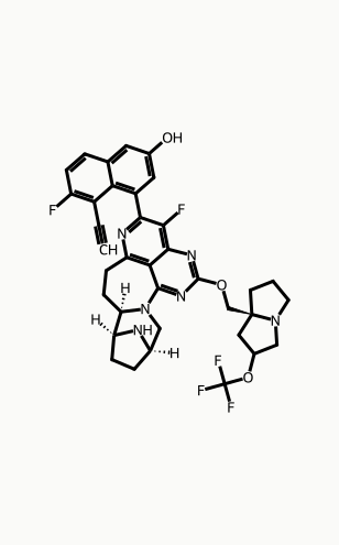 C#Cc1c(F)ccc2cc(O)cc(-c3nc4c5c(nc(OC[C@@]67CCCN6CC(OC(F)(F)F)C7)nc5c3F)N3C[C@H]5CC[C@H](N5)[C@H]3CC4)c12